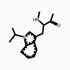 CNC(Cc1cn(C(C)C)c2ccccc12)C(C)=O